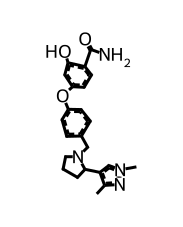 Cc1nn(C)cc1C1CCCN1Cc1ccc(Oc2ccc(C(N)=O)c(O)c2)cc1